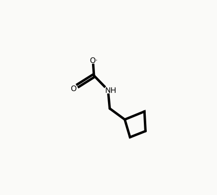 [O]C(=O)NCC1CCC1